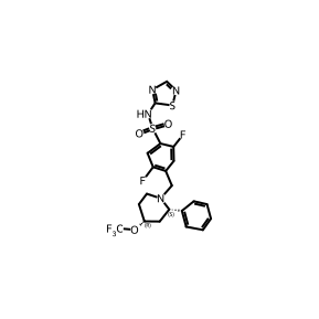 O=S(=O)(Nc1ncns1)c1cc(F)c(CN2CC[C@@H](OC(F)(F)F)C[C@H]2c2ccccc2)cc1F